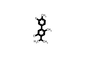 Cc1ccc(-c2cc(Cl)c(C(C)C)cc2C)cc1F